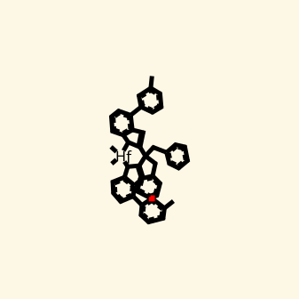 Cc1cccc(-c2cccc3c2C=C2[CH]3[Hf]([CH3])([CH3])[CH]3C(=Cc4c(-c5cccc(C)c5)cccc43)C2(Cc2ccccc2)Cc2ccccc2)c1